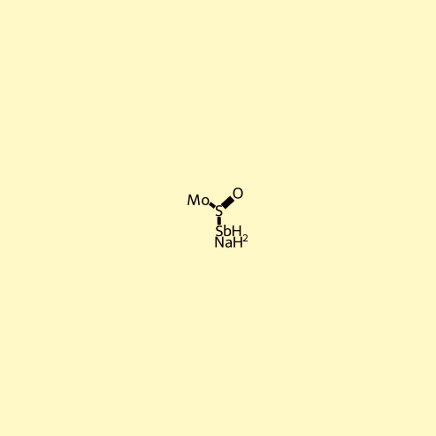 O=[S]([Mo])[SbH2].[NaH]